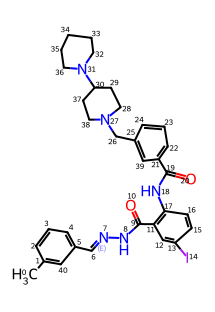 Cc1cccc(/C=N/NC(=O)c2cc(I)ccc2NC(=O)c2cccc(CN3CCC(N4CCCCC4)CC3)c2)c1